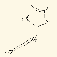 O=C=NC1CC=CS1